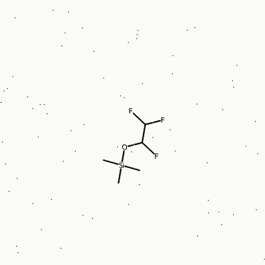 C[Si](C)(C)OC(F)C(F)F